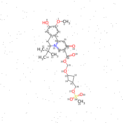 COc1cc2c(cc1O)CC(C(C)(C)C)n1cc(C(=O)OCOC3CC(COS(C)(=O)=O)C3)c(=O)cc1-2